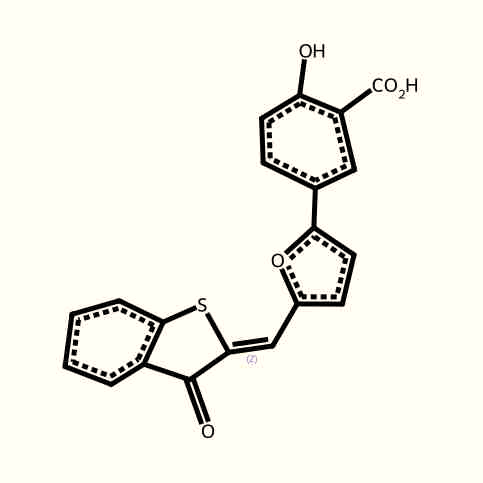 O=C(O)c1cc(-c2ccc(/C=C3\Sc4ccccc4C3=O)o2)ccc1O